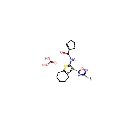 Cc1noc(-c2c(NC(=O)C3=CCCC3)sc3c2CCCCC3)n1.O=C(O)O